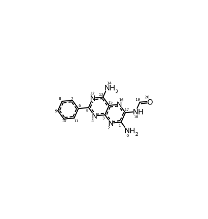 Nc1nc2nc(-c3ccccc3)nc(N)c2nc1NC=O